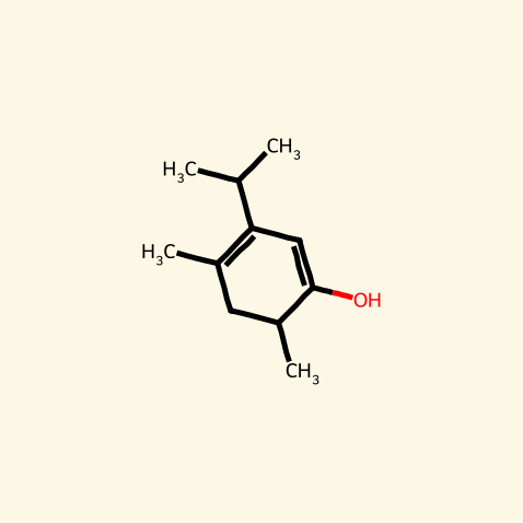 CC1=C(C(C)C)C=C(O)C(C)C1